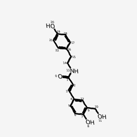 O=C(/C=C/c1ccc(O)c(CO)c1)NCCc1ccc(O)cc1